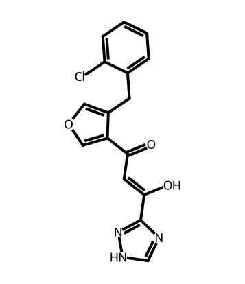 O=C(C=C(O)c1nc[nH]n1)c1cocc1Cc1ccccc1Cl